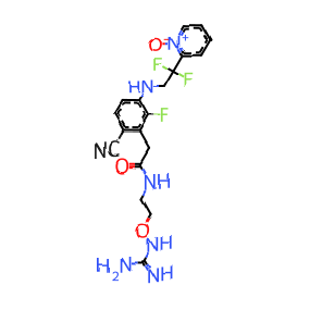 N#Cc1ccc(NCC(F)(F)c2cccc[n+]2[O-])c(F)c1CC(=O)NCCONC(=N)N